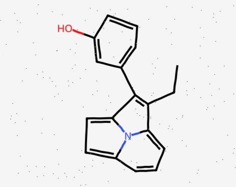 CCc1c(-c2cccc(O)c2)c2ccc3cccc1n32